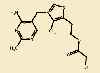 Cc1ncc(C[n+]2csc(CCOC(=O)CO)c2C)c(N)n1